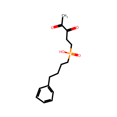 CC(=O)C(=O)CCP(=O)(O)CCCCc1ccccc1